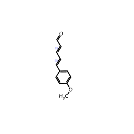 COc1ccc(/C=C/C=C/C=O)cc1